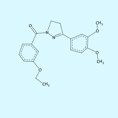 CCOc1cccc(C(=O)N2CCC(c3ccc(OC)c(OC)c3)=N2)c1